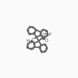 COC(=O)C1(C2(C)c3ccccc3-c3ccccc32)c2ccccc2-c2ccccc21